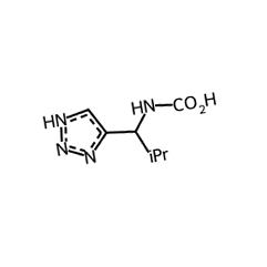 CC(C)C(NC(=O)O)c1c[nH]nn1